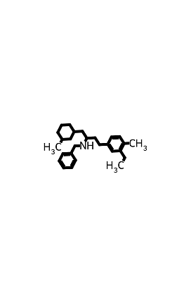 CCc1cc(CCC(CC2CCCC(C)C2)NCc2ccccc2)ccc1C